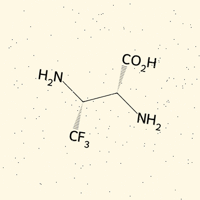 N[C@H]([C@@H](N)C(=O)O)C(F)(F)F